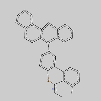 C/C=C1/Sc2ccc(-c3c4ccccc4cc4c3ccc3ccccc34)cc2-c2cccc(C)c21